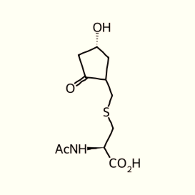 CC(=O)N[C@@H](CSCC1C[C@@H](O)CC1=O)C(=O)O